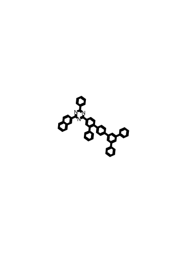 c1ccc(-c2cc(-c3ccccc3)cc(-c3ccc(-c4ccc(-c5nc(-c6ccccc6)nc(-c6ccc7ccccc7c6)n5)cc4-c4ccccc4)cc3)c2)cc1